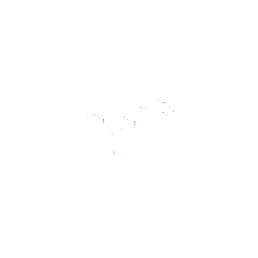 CC(C)C[C@@H]([C]=O)NC(=O)[C@H](CC(N)=O)NC(=O)[C@@H](N)Cc1c[nH]cn1